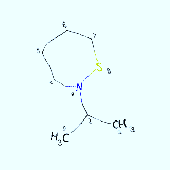 CC(C)N1CCCCS1